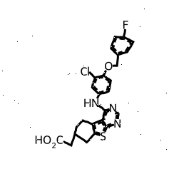 O=C(O)CC1CCc2c(sc3ncnc(Nc4ccc(OCc5ccc(F)cc5)c(Cl)c4)c23)C1